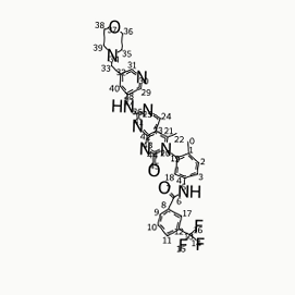 Cc1ccc(NC(=O)c2cccc(C(F)(F)F)c2)cc1-n1c(C)c2cnc(Nc3cncc(CN4CCOCC4)c3)nc2nc1=O